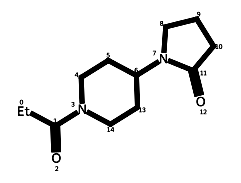 CCC(=O)N1CCC(N2CCCC2=O)CC1